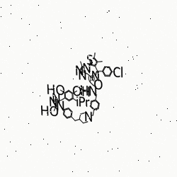 Cc1sc2c(c1C)C(c1ccc(Cl)cc1)=N[C@@H](CC(=O)NCc1ccc(CN3CCC(Cc4ccc(-n5c(O)nnc5-c5cc(C(C)C)c(O)cc5O)cc4)CC3)cc1)c1nnc(C)n1-2